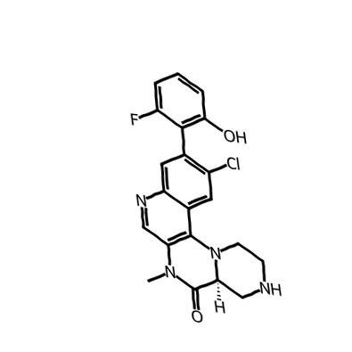 CN1C(=O)[C@@H]2CNCCN2c2c1cnc1cc(-c3c(O)cccc3F)c(Cl)cc21